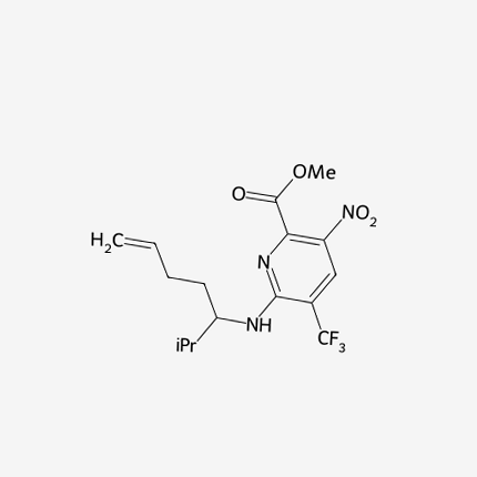 C=CCCC(Nc1nc(C(=O)OC)c([N+](=O)[O-])cc1C(F)(F)F)C(C)C